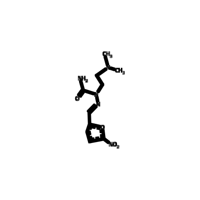 CN(C)CCN(N=Cc1ccc([N+](=O)[O-])o1)C(N)=O